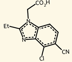 CCc1nc2c(Cl)c(C#N)ccc2n1CC(=O)O